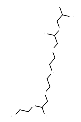 CC(S)CSC(S)COCCOCCOCC(S)SCCS